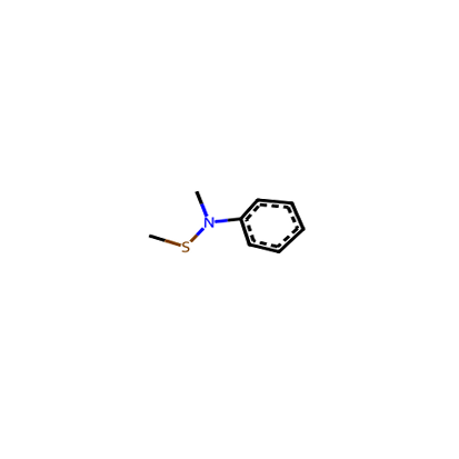 CSN(C)c1ccccc1